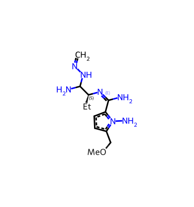 C=NNC(N)[C@H](CC)/N=C(/N)c1ccc(COC)n1N